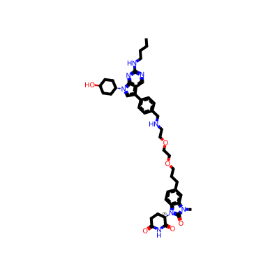 CCCCNc1ncc2c(-c3ccc(CNCCOCCOCCCc4ccc5c(c4)n(C)c(=O)n5[C@H]4CCC(=O)NC4=O)cc3)cn([C@H]3CC[C@H](O)CC3)c2n1